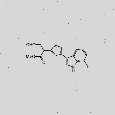 COC(=O)C(CC=O)c1cc(-c2c[nH]c3c(F)cccc23)cs1